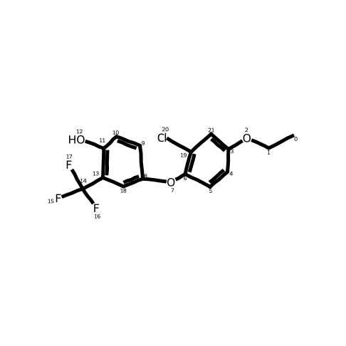 CCOc1ccc(Oc2ccc(O)c(C(F)(F)F)c2)c(Cl)c1